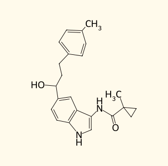 Cc1ccc(CCC(O)c2ccc3[nH]cc(NC(=O)C4(C)CC4)c3c2)cc1